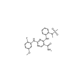 COc1ccc(F)c(Nc2ncc(C(N)=O)c(Nc3ccccc3N(C)S(C)(=O)=O)n2)c1